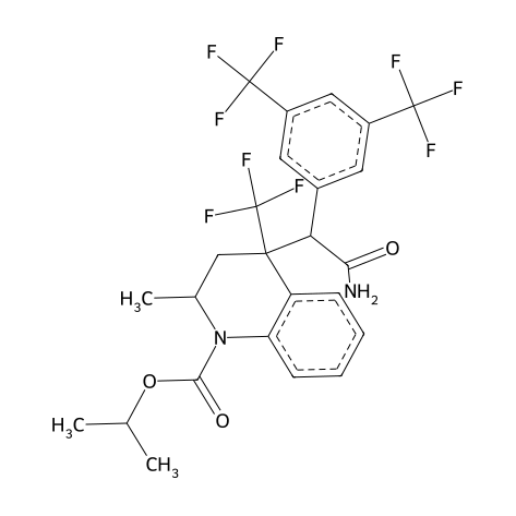 CC(C)OC(=O)N1c2ccccc2C(C(C(N)=O)c2cc(C(F)(F)F)cc(C(F)(F)F)c2)(C(F)(F)F)CC1C